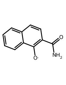 NC(=O)c1ccc2ccccc2c1[O]